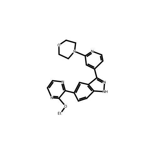 CCOc1nccnc1-c1ccc2[nH]nc(-c3ccnc(N4CCOCC4)c3)c2c1